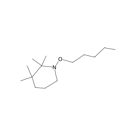 CCCCCON1CCCC(C)(C)C1(C)C